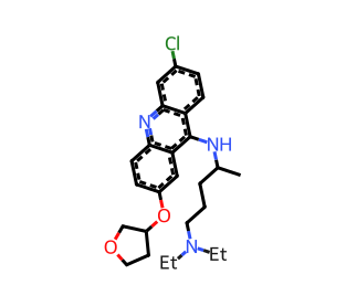 CCN(CC)CCCC(C)Nc1c2ccc(Cl)cc2nc2ccc(OC3CCOC3)cc12